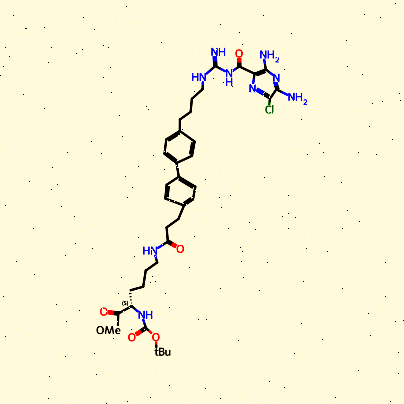 COC(=O)[C@H](CCCCNC(=O)CCc1ccc(-c2ccc(CCCCNC(=N)NC(=O)c3nc(Cl)c(N)nc3N)cc2)cc1)NC(=O)OC(C)(C)C